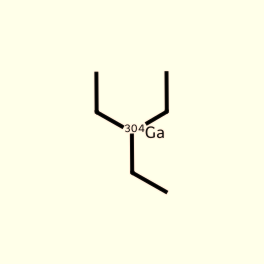 C[CH2][304Ga]([CH2]C)[CH2]C